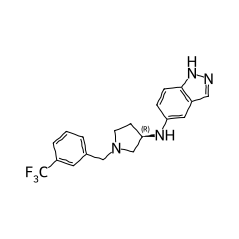 FC(F)(F)c1cccc(CN2CC[C@@H](Nc3ccc4[nH]ncc4c3)C2)c1